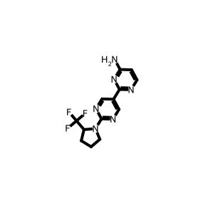 Nc1ccnc(-c2cnc(N3CCCC3C(F)(F)F)nc2)n1